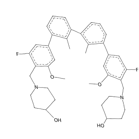 COc1cc(-c2cccc(-c3cccc(-c4cc(F)c(CN5CCC(O)CC5)c(OC)c4)c3C)c2C)cc(F)c1CN1CCC(O)CC1